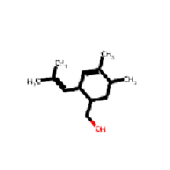 CC(C)=CC1C=C(C)C(C)CC1CO